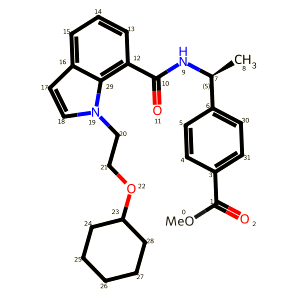 COC(=O)c1ccc([C@H](C)NC(=O)c2cccc3ccn(CCOC4CCCCC4)c23)cc1